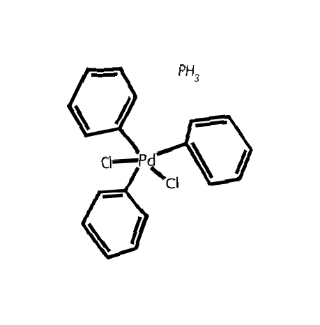 P.[Cl][Pd]([Cl])([c]1ccccc1)([c]1ccccc1)[c]1ccccc1